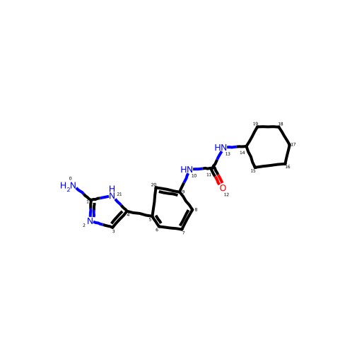 Nc1ncc(-c2cccc(NC(=O)NC3CCCCC3)c2)[nH]1